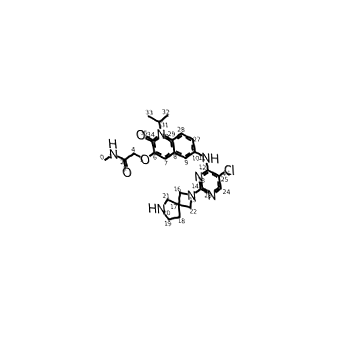 CNC(=O)COc1cc2cc(Nc3nc(N4CC5(CCNC5)C4)ncc3Cl)ccc2n(C(C)C)c1=O